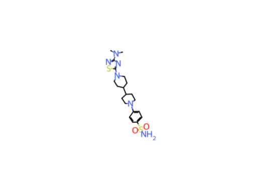 CN(C)c1nsc(N2CCC(C3CCN(c4ccc(S(N)(=O)=O)cc4)CC3)CC2)n1